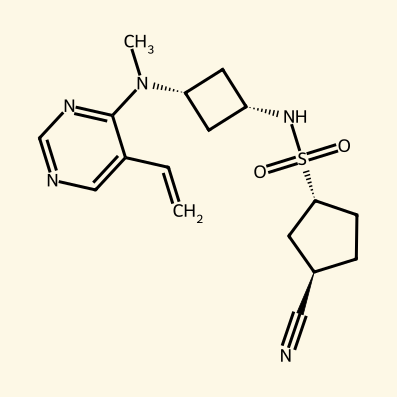 C=Cc1cncnc1N(C)[C@H]1C[C@@H](NS(=O)(=O)[C@@H]2CC[C@@H](C#N)C2)C1